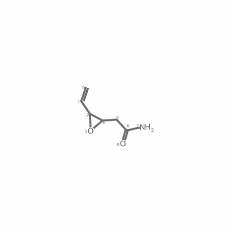 C=CC1OC1CC(N)=O